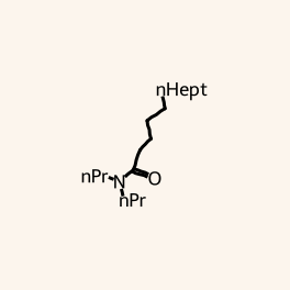 CCCCCCCCCCCC(=O)N(CCC)CCC